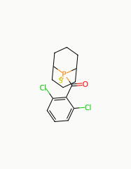 O=C(c1c(Cl)cccc1Cl)P1(=S)C2CCCC1CCC2